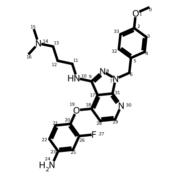 COc1ccc(Cn2nc(NCCCN(C)C)c3c(Oc4ccc(N)cc4F)ccnc32)cc1